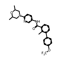 Cc1c(C(=O)Nc2ccc(N3CC(C)OC(C)C3)nc2)cccc1-c1ccc(OC(F)(F)F)cc1